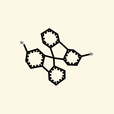 Brc1ccc2c(c1)-c1ccccc1C21c2ccccc2-c2ccc(Br)cc21